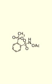 CC(=O)ONS(=O)(=O)c1ccccc1S(C)(=O)=O